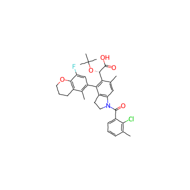 Cc1cccc(C(=O)N2CCc3c2cc(C)c([C@H](OC(C)(C)C)C(=O)O)c3-c2cc(F)c3c(c2C)CCCO3)c1Cl